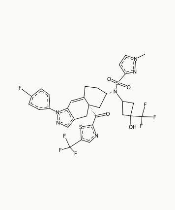 Cn1ccc(S(=O)(=O)N(C2CC(O)(C(F)(F)F)C2)[C@H]2CCC3=Cc4c(cnn4-c4ccc(F)cc4)C[C@]3(C(=O)c3ncc(C(F)(F)F)s3)C2)n1